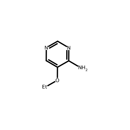 CCOc1cncnc1N